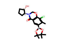 Cc1c(B2OC(C)(C)C(C)(C)O2)cc2c(c1Cl)OCN([C@H]1CCC[C@@H]1O)C2=O